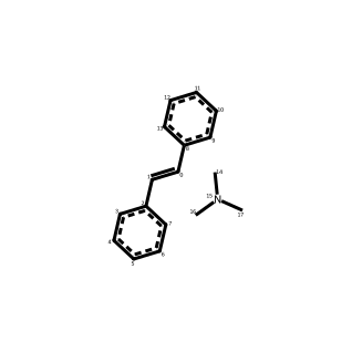 C(=Cc1ccccc1)c1ccccc1.CN(C)C